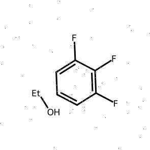 CCO.Fc1cccc(F)c1F